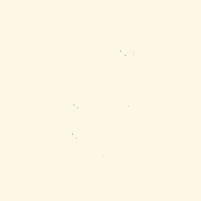 [NH]C(=O)c1cccnn1